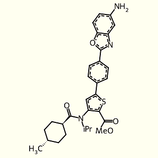 COC(=O)c1sc(-c2ccc(-c3nc4cc(N)ccc4o3)cc2)cc1N(C(=O)[C@H]1CC[C@H](C)CC1)C(C)C